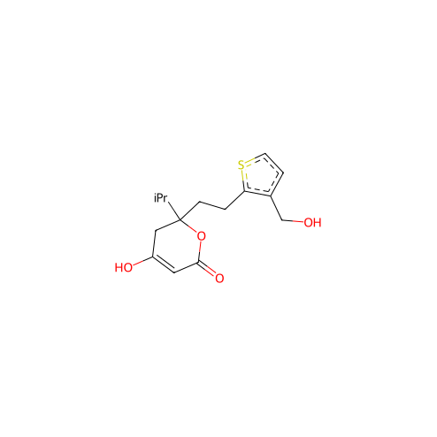 CC(C)C1(CCc2sccc2CO)CC(O)=CC(=O)O1